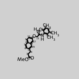 COC(=O)CCc1ccc2ccc(OCC(=O)Nc3c(C)c(C)cc(C)c3C)cc2c1